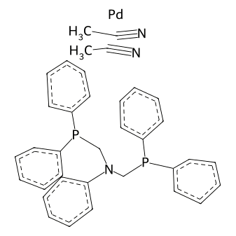 CC#N.CC#N.[Pd].c1ccc(N(CP(c2ccccc2)c2ccccc2)CP(c2ccccc2)c2ccccc2)cc1